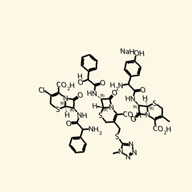 CC1=C(C(=O)O)N2C(=O)[C@@H](NC(=O)C(N)c3ccc(O)cc3)[C@H]2SC1.Cn1nnnc1SCC1=C(C(=O)O)N2C(=O)[C@@H](NC(=O)C(O)c3ccccc3)[C@H]2SC1.NC(C(=O)N[C@@H]1C(=O)N2C(C(=O)O)=C(Cl)CS[C@H]12)c1ccccc1.[NaH]